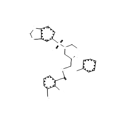 Cc1c(O)cccc1C(=O)N[C@@H](Cc1ccccc1)[C@H](O)CN(CC(C)C)S(=O)(=O)c1ccc2c(c1)OCO2